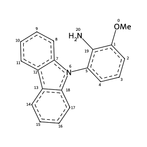 COc1cccc(-n2c3ccccc3c3ccccc32)c1N